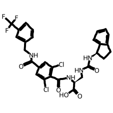 O=C(NC[C@H](NC(=O)c1c(Cl)cc(C(=O)NCc2cccc(C(F)(F)F)c2)cc1Cl)C(=O)O)N[C@@H]1CCc2ccccc21